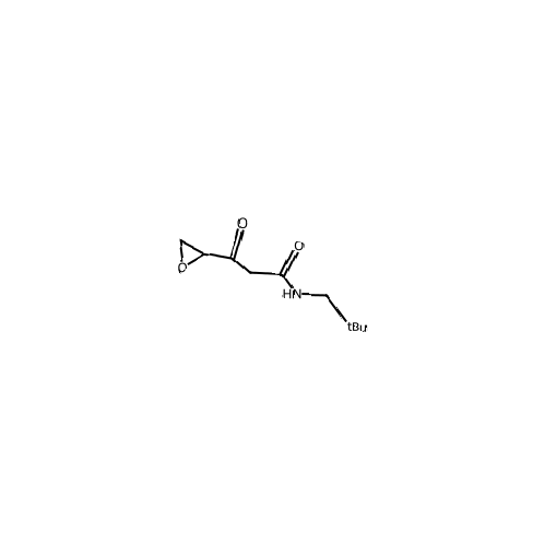 CC(C)(C)CNC(=O)CC(=O)C1CO1